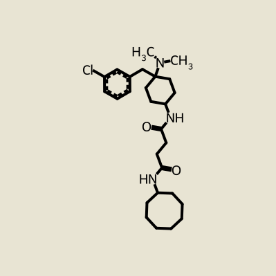 CN(C)C1(Cc2cccc(Cl)c2)CCC(NC(=O)CCC(=O)NC2CCCCCCC2)CC1